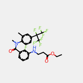 CCOC(=O)CCNc1cccc(C(=O)N(C)c2ccc(C(F)(C(F)(F)F)C(F)(F)F)cc2C)c1F